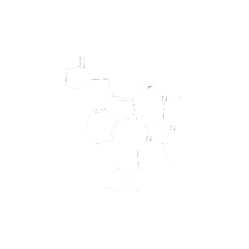 C#Cc1c(C(C)C2CCCN2)c2ccccc2n1-c1c([N+](=O)[O-])nc(C)n1CCS(=O)(=O)CC